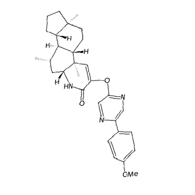 COc1ccc(-c2cnc(OC3=C[C@@]4(C)[C@@H](C[C@H](C)[C@H]5[C@@H]6CCC[C@@]6(C)CC[C@@H]54)NC3=O)cn2)cc1